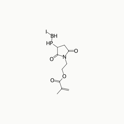 C=C(C)C(=O)OCCN1C(=O)CC(PBI)C1=O